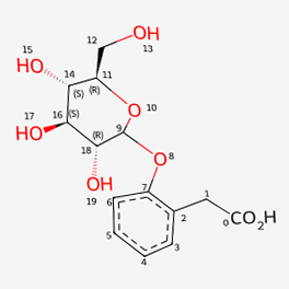 O=C(O)Cc1ccccc1OC1O[C@H](CO)[C@@H](O)[C@H](O)[C@H]1O